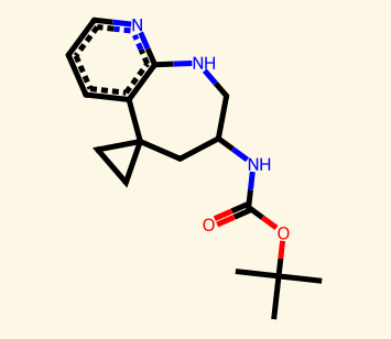 CC(C)(C)OC(=O)NC1CNc2ncccc2C2(CC2)C1